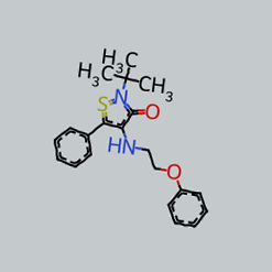 CC(C)(C)n1sc(-c2ccccc2)c(NCCOc2ccccc2)c1=O